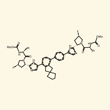 COC(=O)N[C@H](C(=O)N1C[C@H](F)C[C@H]1c1ncc(-c2ccc(-c3ccc(-c4cnc([C@@H]5C[C@@H](F)CN5C(=O)[C@@H](NC(=O)OC)C(C)C)[nH]4)c4c3CC3(CCCC3)C4)cc2)[nH]1)C(C)C